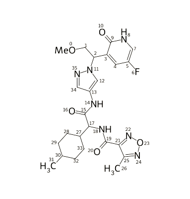 COCC(c1cc(F)c[nH]c1=O)n1cc(NC(=O)C(NC(=O)c2nonc2C)C2CCC(C)CC2)cn1